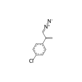 C=C(C=[N+]=[N-])c1ccc(Cl)cc1